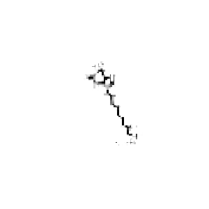 CCCCCCCCNCC(O)CCCCCCCn1cnc2c(=O)[nH]c(=O)n(C)c21